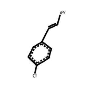 CC(C)C=Cc1ccc(Cl)cc1